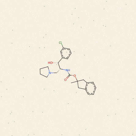 CC1(OC(=O)N[C@H](CN2CCCC2)[C@H](O)c2cccc(Cl)c2)Cc2ccccc2C1